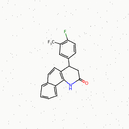 O=C1CC(c2ccc(F)c(C(F)(F)F)c2)c2ccc3ccccc3c2N1